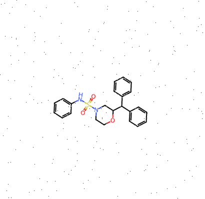 O=S(=O)(Nc1ccccc1)N1CCOC(C(c2ccccc2)c2ccccc2)C1